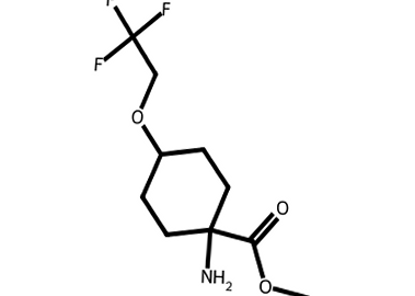 COC(=O)C1(N)CCC(OCC(F)(F)F)CC1